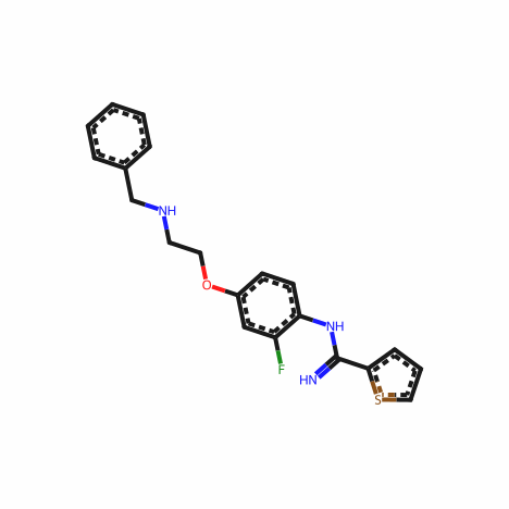 N=C(Nc1ccc(OCCNCc2ccccc2)cc1F)c1cccs1